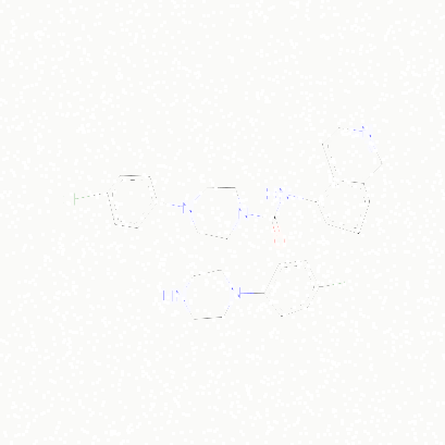 Clc1ccc(N2CCNCC2)cc1.O=C(Nc1cccc2cnccc12)N1CCN(c2ccc(Cl)cc2)CC1